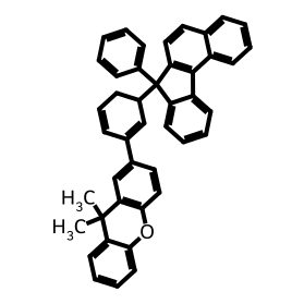 CC1(C)c2ccccc2Oc2ccc(C3=CC(C4(c5ccccc5)c5ccccc5-c5c4ccc4ccccc54)CC=C3)cc21